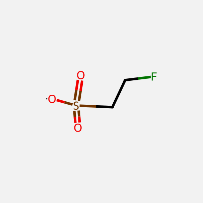 [O]S(=O)(=O)CCF